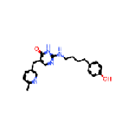 Cc1ccc(Cc2cnc(NCCCCc3ccc(O)cc3)[nH]c2=O)cn1